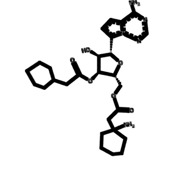 Nc1ncnn2c([C@@H]3O[C@H](COC(=O)CC4(N)CCCCC4)[C@@H](OC(=O)CC4CCCCC4)[C@H]3O)ccc12